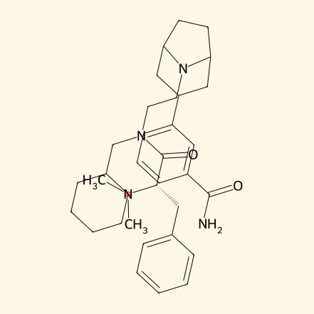 CN(C)[C@@H](Cc1ccccc1)C(=O)N(CCN1C2CCC1CC(c1cccc(C(N)=O)c1)C2)CC1CCCCC1